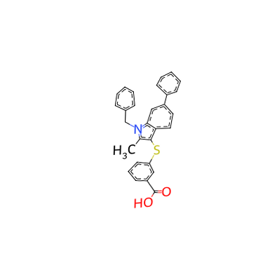 Cc1c(Sc2cccc(C(=O)O)c2)c2ccc(-c3ccccc3)cc2n1Cc1ccccc1